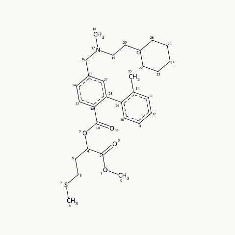 COC(=O)C(CCSC)OC(=O)c1ccc(CN(C)CCC2CCCCC2)cc1-c1ccccc1C